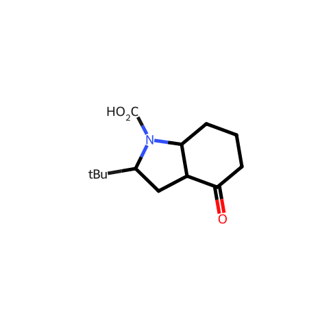 CC(C)(C)C1CC2C(=O)CCCC2N1C(=O)O